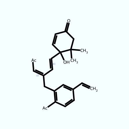 C=Cc1ccc(C(C)=O)c(CC(=C/C(C)=O)/C=C/C2(O)C=CC(=O)CC2(C)C)c1